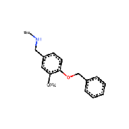 COc1cc(CNC(C)(C)C)ccc1OCc1ccccc1